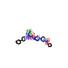 O=C(Nc1ccc(N2CCCN(C(=O)OC3CCCC3)CC2)nc1)c1oc(N2CCC(c3ccccc3)CC2)nc1C(F)(F)F